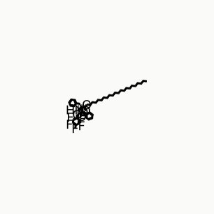 CCCCCCCCCCCCCCCCCCCCCOC(=O)[C@H](Cc1ccccc1)N[P@](=O)(Oc1ccccc1)Oc1c(F)c(F)c(F)c(F)c1F